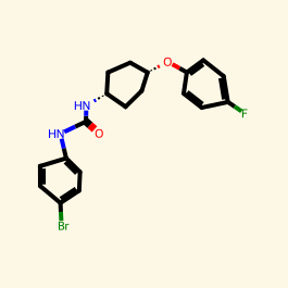 O=C(Nc1ccc(Br)cc1)N[C@H]1CC[C@@H](Oc2ccc(F)cc2)CC1